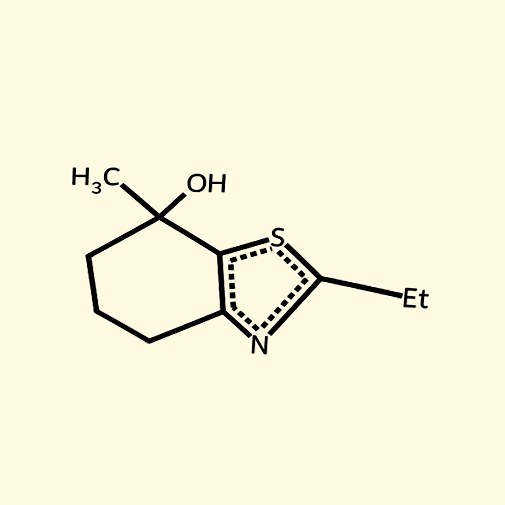 CCc1nc2c(s1)C(C)(O)CCC2